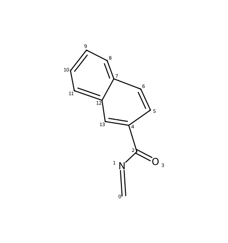 C=NC(=O)c1ccc2ccccc2c1